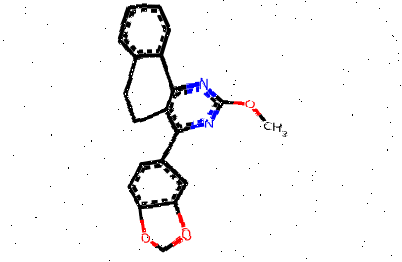 COc1nc(-c2ccc3c(c2)OCO3)c2c(n1)-c1ccccc1CC2